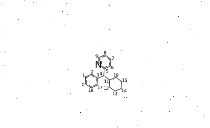 c1ccc(C(c2ccccn2)C2CCCCC2)cc1